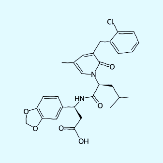 Cc1cc(Cc2ccccc2Cl)c(=O)n([C@@H](CC(C)C)C(=O)N[C@@H](CC(=O)O)c2ccc3c(c2)OCO3)c1